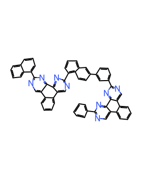 c1ccc(-c2ncc3c4ccccc4c4cnc(-c5cccc(-c6ccc7c(-c8ncc9c%10ccccc%10c%10cnc(-c%11cccc%12ccccc%11%12)nc%10c9n8)cccc7c6)c5)nc4c3n2)cc1